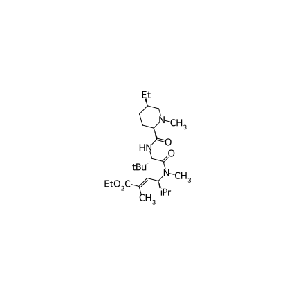 CCOC(=O)/C(C)=C/[C@H](C(C)C)N(C)C(=O)[C@@H](NC(=O)[C@H]1CC[C@@H](CC)CN1C)C(C)(C)C